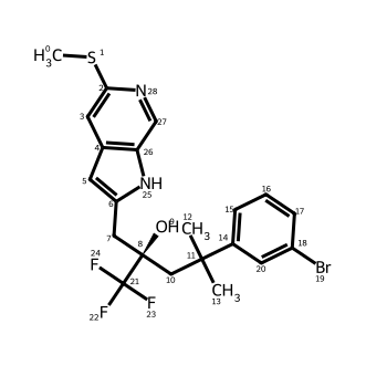 CSc1cc2cc(C[C@](O)(CC(C)(C)c3cccc(Br)c3)C(F)(F)F)[nH]c2cn1